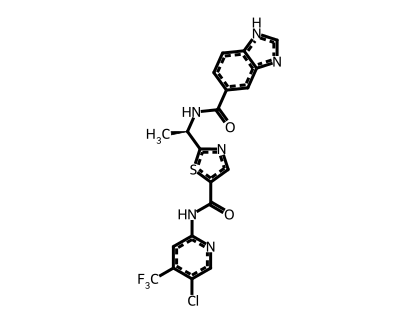 C[C@@H](NC(=O)c1ccc2[nH]cnc2c1)c1ncc(C(=O)Nc2cc(C(F)(F)F)c(Cl)cn2)s1